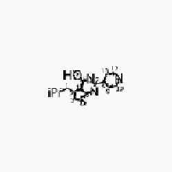 CC(C)Cc1csc2nc(-c3ccncc3)nc(O)c12